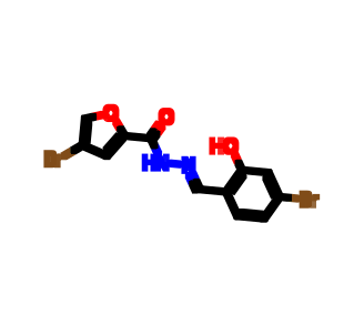 O=C(NN=Cc1ccc(Br)cc1O)c1cc(Br)co1